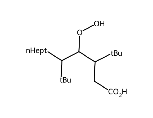 CCCCCCCC(C(OO)C(CC(=O)O)C(C)(C)C)C(C)(C)C